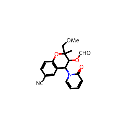 COCC1(C)Oc2ccc(C#N)cc2C(n2ccccc2=O)C1OC=O